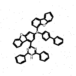 c1ccc(C2=NC(c3cc(N(c4ccc(-c5ccccc5)cc4)c4cccc5c4oc4ccccc45)cc4oc5ccccc5c34)=NC(c3ccccc3)N2)cc1